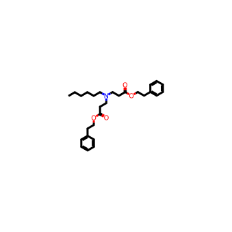 CCCCCCN(CCC(=O)OCCc1ccccc1)CCC(=O)OCCc1ccccc1